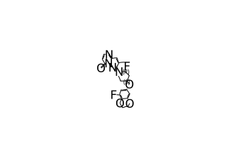 Cc1cc2nccc(=O)n2nc1N1CC[C@H](Oc2cc(F)c3c(c2)OCCO3)C[C@H]1F